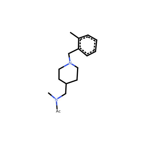 CC(=O)N(C)CC1CCN(Cc2ccccc2C)CC1